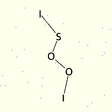 IOOSI